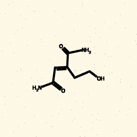 NC(=O)/C=C(\CCO)C(N)=O